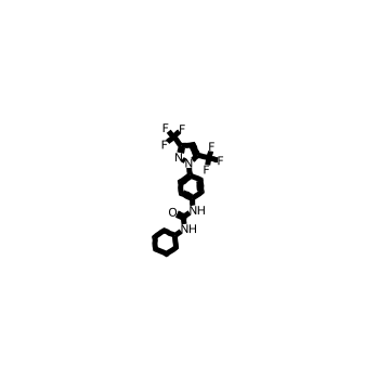 O=C(Nc1ccc(-n2nc(C(F)(F)F)cc2C(F)(F)F)cc1)NC1CCCCC1